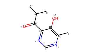 Cc1ncnc(C(=O)C(C)C)c1O